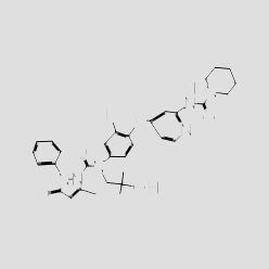 Cc1cc(=O)n(-c2ccccc2)n1C(=O)N(CC(C)(C)O)c1ccc(Oc2ccnc(NC(=O)N3CCCCC3)c2)c(F)c1